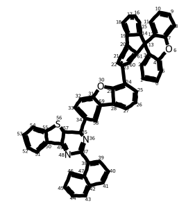 c1ccc2c(c1)Oc1ccccc1C21c2ccccc2-c2ccc(-c3cccc4c3oc3ccc(C5N=C(c6cccc7ccccc67)N=C6c7ccccc7SC65)cc34)cc21